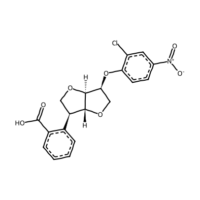 O=C(O)c1ccccc1[C@H]1CO[C@@H]2[C@@H]1OC[C@@H]2Oc1ccc([N+](=O)[O-])cc1Cl